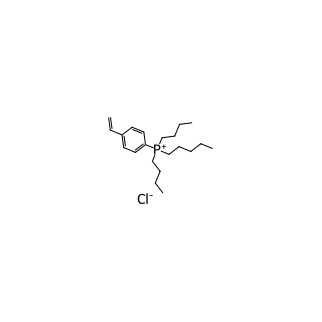 C=Cc1ccc([P+](CCCC)(CCCC)CCCCC)cc1.[Cl-]